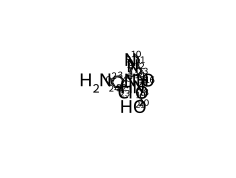 Nc1ccc(Nc2cn3nccc3cc2C(=O)NOCCO)c(Cl)c1